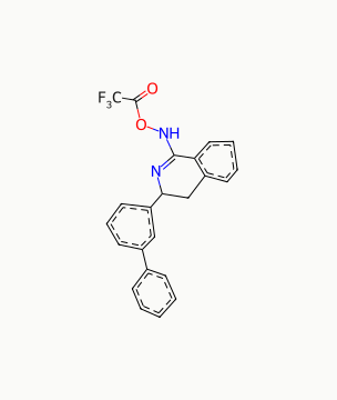 O=C(ONC1=NC(c2cccc(-c3ccccc3)c2)Cc2ccccc21)C(F)(F)F